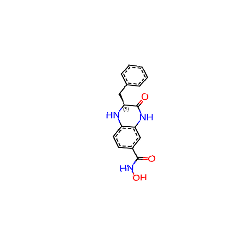 O=C(NO)c1ccc2c(c1)NC(=O)[C@H](Cc1ccccc1)N2